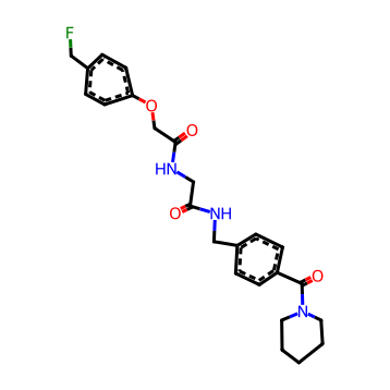 O=C(CNC(=O)COc1ccc(CF)cc1)NCc1ccc(C(=O)N2CCCCC2)cc1